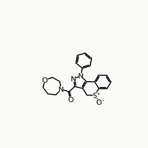 O=C(c1nn(-c2ccccc2)c2c1C[S+]([O-])c1ccccc1-2)N1CCCOCC1